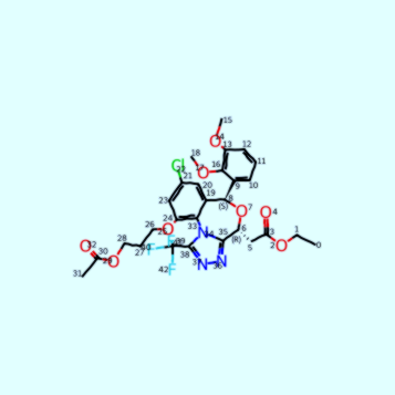 CCOC(=O)C[C@H]1O[C@H](c2cccc(OC)c2OC)c2cc(Cl)cc(OCCCOC(C)=O)c2-n2c1nnc2C(F)(F)F